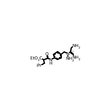 CCOC(=O)C(CC(C)C)C(=O)Nc1ccc(CN(N)/C(=C\N)CN)cc1